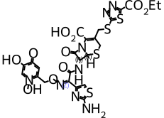 CCOC(=O)c1nnc(SCC2=C(C(=O)O)N3C(=O)[C@@H](NC(=O)/C(=N\OCc4cc(=O)c(O)cn4O)c4csc(N)n4)[C@H]3SC2)s1